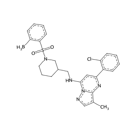 Bc1ccccc1S(=O)(=O)N1CCCC(CNc2cc(-c3ccccc3Cl)nc3c(C)cnn23)C1